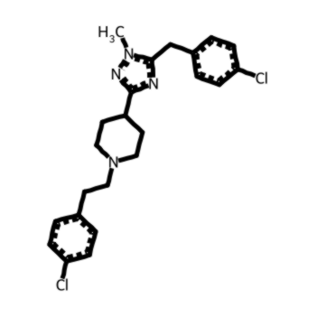 Cn1nc(C2CCN(CCc3ccc(Cl)cc3)CC2)nc1Cc1ccc(Cl)cc1